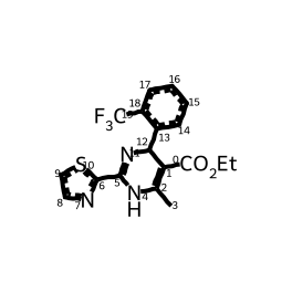 CCOC(=O)C1=C(C)NC(c2nccs2)=NC1c1ccccc1C(F)(F)F